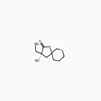 CC(C)(C)C[C@]1(C(C)(C)C)CC2(CCCCC2)OC1=O